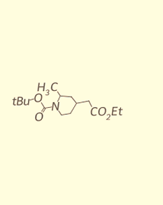 CCOC(=O)CC1CCN(C(=O)OC(C)(C)C)C(C)C1